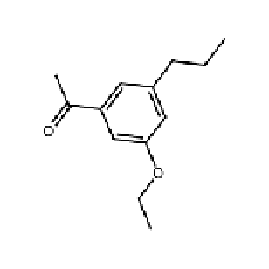 CCCc1cc(OCC)cc(C(C)=O)c1